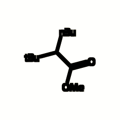 CCCCC(C(=O)OC)C(C)(C)C